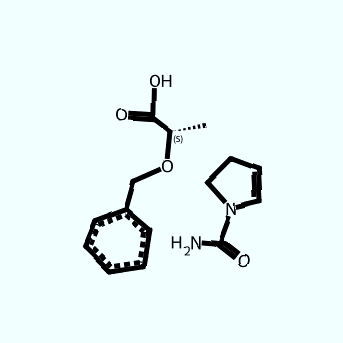 C[C@H](OCc1ccccc1)C(=O)O.NC(=O)N1C=CCC1